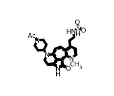 CC(=O)N1CCC(N2CC=c3[nH]c(=O)c4c5c(ccc2c3-4)=C(CCN[SH](=O)=O)C=CN5C)CC1